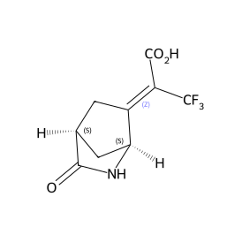 O=C(O)/C(=C1\C[C@H]2C[C@@H]1NC2=O)C(F)(F)F